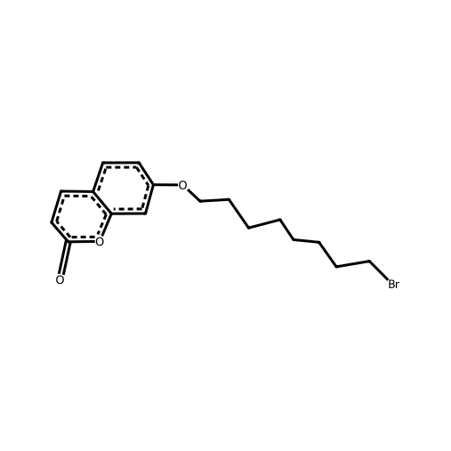 O=c1ccc2ccc(OCCCCCCCCBr)cc2o1